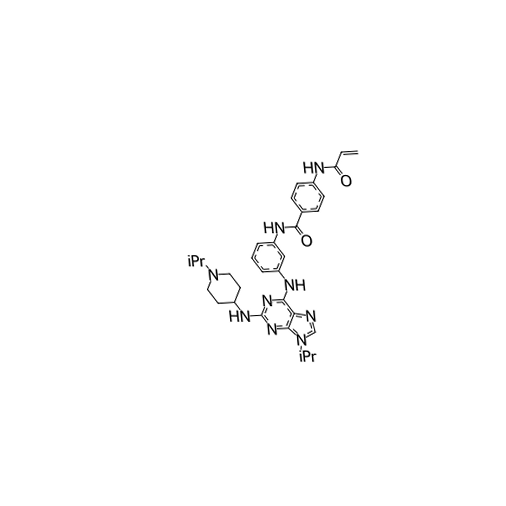 C=CC(=O)Nc1ccc(C(=O)Nc2cccc(Nc3nc(NC4CCN(C(C)C)CC4)nc4c3ncn4C(C)C)c2)cc1